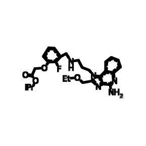 CCOCc1nc2c(N)nc3ccccc3c2n1CCCNCc1cccc(OCC(=O)OC(C)C)c1F